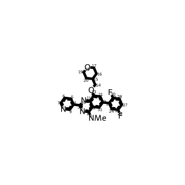 CNc1nc(-c2cccnc2)nc2c(OCC3CCOCC3)cc(-c3cc(F)ccc3F)cc12